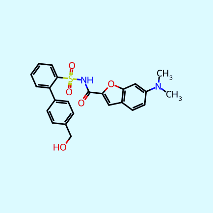 CN(C)c1ccc2cc(C(=O)NS(=O)(=O)c3ccccc3-c3ccc(CO)cc3)oc2c1